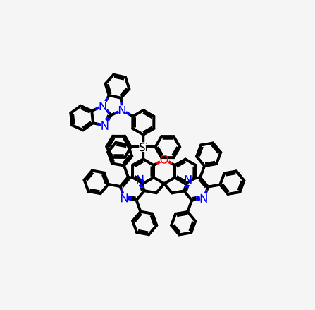 c1ccc(-c2nc(-c3ccccc3)c(-c3ccccc3)nc2CC2(Cc3nc(-c4ccccc4)c(-c4ccccc4)nc3-c3ccccc3)c3ccccc3Oc3c2cccc3[Si](c2ccccc2)(c2ccccc2)c2cccc(-n3c4ccccc4n4c5ccccc5nc34)c2)cc1